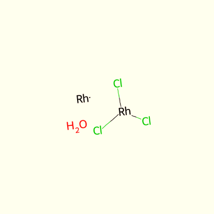 O.[Cl][Rh]([Cl])[Cl].[Rh]